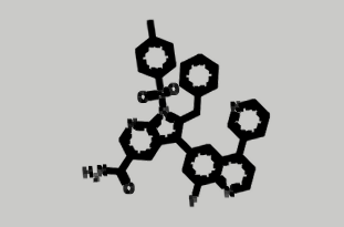 Cc1ccc(S(=O)(=O)n2c(Cc3ccccc3)c(-c3cc(F)c4nccc(-c5cccnc5)c4c3)c3cc(C(N)=O)cnc32)cc1